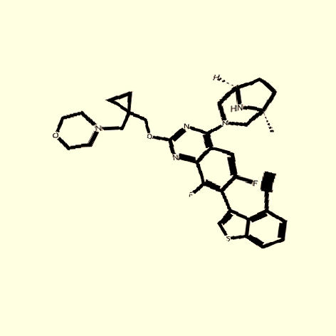 C#Cc1cccc2scc(-c3c(F)cc4c(N5C[C@H]6CC[C@@](C)(C5)N6)nc(OCC5(CN6CCOCC6)CC5)nc4c3F)c12